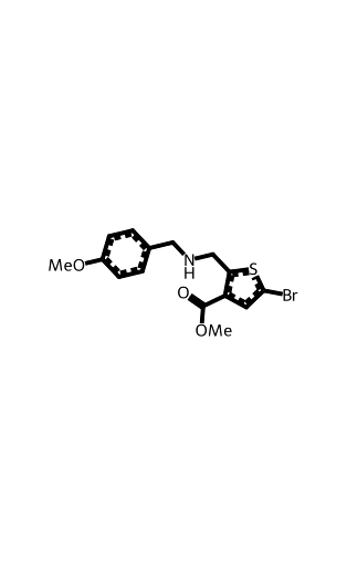 COC(=O)c1cc(Br)sc1CNCc1ccc(OC)cc1